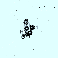 CC(=O)c1cnc2ccc(-c3cc(Cl)c(C)c(Cl)c3)cc2c1N[C@H]1CCC[C@@H](CN2CCN(C)CC2)C1